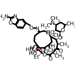 CC[C@H]1OC(=O)[C@H](C)C(=O)[C@H](C)[C@@H](O[C@@H]2O[C@H](C)C[C@H](N(C)C)[C@H]2O)[C@@]2(C)C[C@@H](C)C(=O)[C@H](C)[C@@H](CC/C(=N\OCc3ccc4oc(N)nc4c3)CO2)[C@]1(C)O